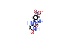 O=C1CCC(Nc2n[nH]c3cc([N+](=O)[O-])ccc23)C(=O)N1